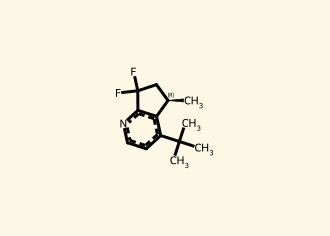 C[C@@H]1CC(F)(F)c2nccc(C(C)(C)C)c21